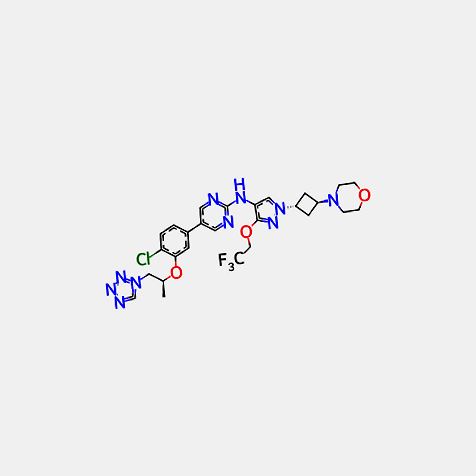 C[C@@H](Cn1cnnn1)Oc1cc(-c2cnc(Nc3cn([C@H]4C[C@H](N5CCOCC5)C4)nc3OCC(F)(F)F)nc2)ccc1Cl